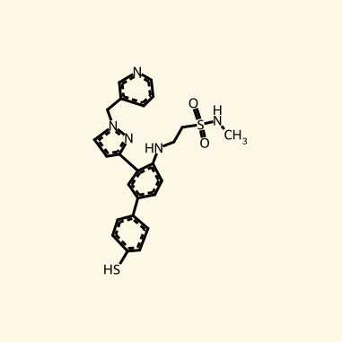 CNS(=O)(=O)CCNc1ccc(-c2ccc(S)cc2)cc1-c1ccn(Cc2cccnc2)n1